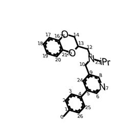 Cc1ccc(-c2cncc(CN(CC3COc4ccccc4O3)C(C)C)c2)cc1